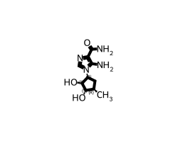 C[C@@H]1C[C@@H](n2cnc(C(N)=O)c2N)[C@H](O)[C@H]1O